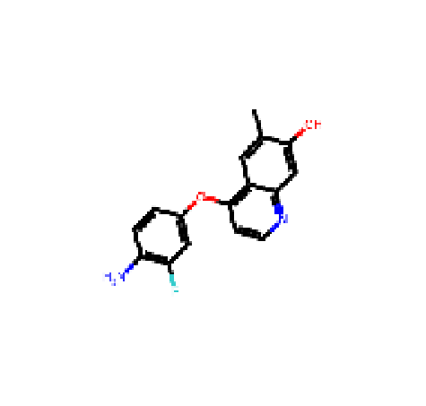 Cc1cc2c(Oc3ccc(N)c(F)c3)ccnc2cc1O